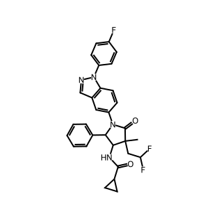 CC1(CC(F)F)C(=O)N(c2ccc3c(cnn3-c3ccc(F)cc3)c2)C(c2ccccc2)C1NC(=O)C1CC1